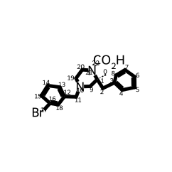 C[C@]1(Cc2ccccc2)CN(Cc2cccc(Br)c2)CCN1C(=O)O